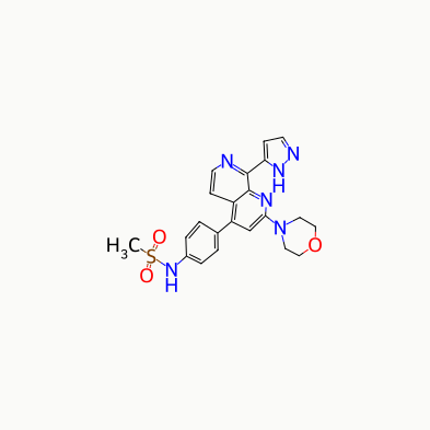 CS(=O)(=O)Nc1ccc(-c2cc(N3CCOCC3)nc3c(-c4ccn[nH]4)nccc23)cc1